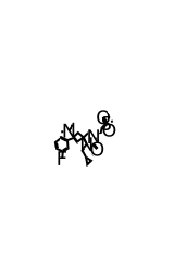 CN(C)C1(c2cccc(F)c2)CC2(CN(CCS(C)(=O)=O)C(=O)N2CC2CC2)C1